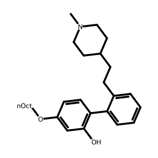 CCCCCCCCOc1ccc(-c2ccccc2CCC2CCN(C)CC2)c(O)c1